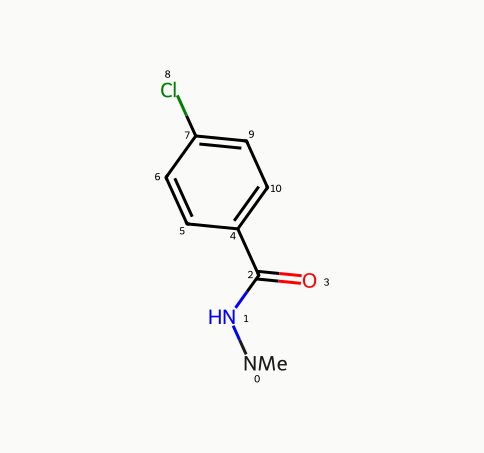 CNNC(=O)c1ccc(Cl)cc1